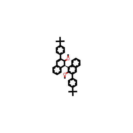 COc1c(-c2ccc(C(C)(C)C)cc2)cc2ccccc2c1[C@H]1c2ccccc2C=C(c2ccc(C(C)(C)C)cc2)C1OC